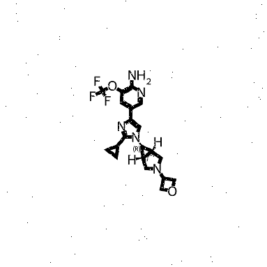 Nc1ncc(-c2cn([C@@H]3[C@@H]4CN(C5COC5)C[C@@H]43)c(C3CC3)n2)cc1OC(F)(F)F